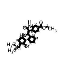 CCOC(=O)c1ccc2c(c1)NC(=O)/C2=C(\Nc1ccc(CN(C)C)c(Br)c1)c1ccccc1